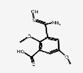 COc1cc(C(=O)O)c(OC)c(/C(N)=N/O)c1